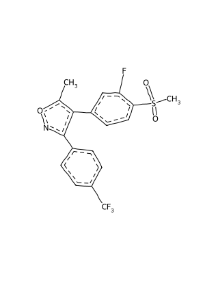 Cc1onc(-c2ccc(C(F)(F)F)cc2)c1-c1ccc(S(C)(=O)=O)c(F)c1